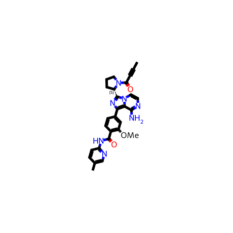 CC#CC(=O)N1CCC[C@H]1c1nc(-c2ccc(C(=O)Nc3ccc(C)cn3)c(OC)c2)c2c(N)nccn12